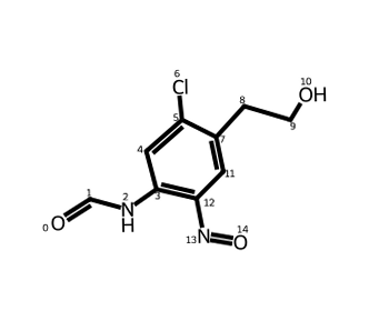 O=CNc1cc(Cl)c(CCO)cc1N=O